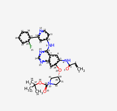 C=CC(=O)Nc1cc2c(Nc3ccnc(-c4ccccc4F)c3)ncnc2cc1O[C@@H]1CCN(C(=O)OC(C)(C)C)C1